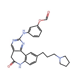 O=COc1cccc(Nc2ncc3c(n2)-c2cc(CCCN4CCCC4)ccc2NC(=O)C3)c1